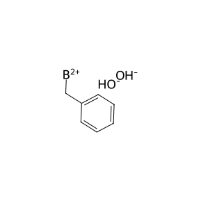 [B+2]Cc1ccccc1.[OH-].[OH-]